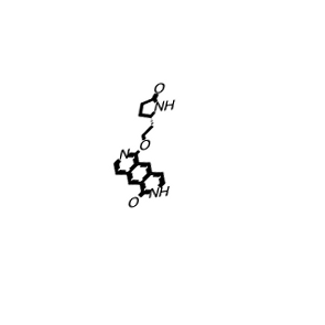 O=C1CC[C@@H](CCOc2nccc3cc4c(=O)[nH]ccc4cc23)N1